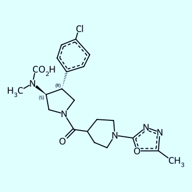 Cc1nnc(N2CCC(C(=O)N3C[C@@H](N(C)C(=O)O)[C@H](c4ccc(Cl)cc4)C3)CC2)o1